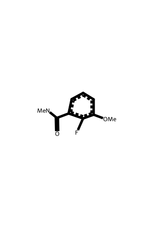 CNC(=O)c1cccc(OC)c1F